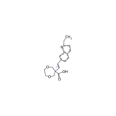 CCc1ccc2ccc(/C=C/C3(C(=O)O)COCCOC3)cc2n1